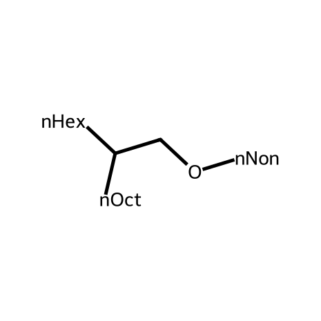 CCCCCCCCCOCC(CCCCCC)CCCCCCCC